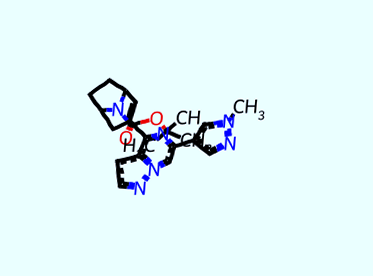 Cn1cc(-c2cn3nccc3c(C3=CC4CCC(C3)N4C(=O)OC(C)(C)C)n2)cn1